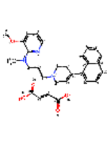 COc1cccnc1N(C)CCCN1CC=C(c2cccc3ccccc23)CC1.O=C(O)C=CC(=O)O